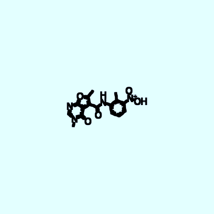 Cc1oc2ncn(C)c(=O)c2c1C(=O)Nc1cccc([N+](=O)O)c1C